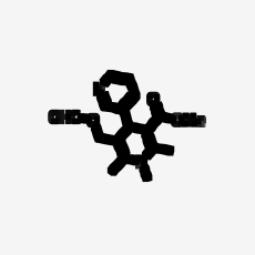 COC(=O)C1=C(C)N(C)C(C)=C(COC=O)C1c1cccnc1